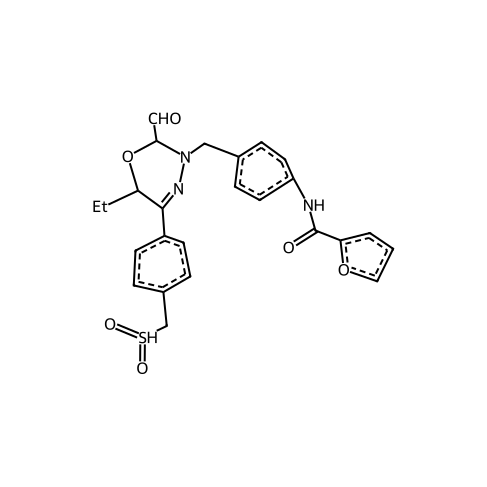 CCC1OC(C=O)N(Cc2ccc(NC(=O)c3ccco3)cc2)N=C1c1ccc(C[SH](=O)=O)cc1